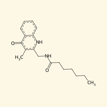 CCCCCCC(=O)NCc1[nH]c2ccccc2c(=O)c1C